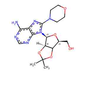 CC1(C)OC2[C@H](CO)O[C@H](n3c(N4CCOCC4)nc4c(N)ncnc43)[C@@H]2O1